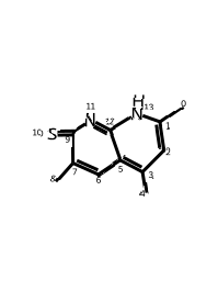 Cc1cc(C)c2cc(C)c(=S)nc-2[nH]1